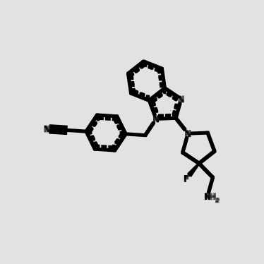 N#Cc1ccc(Cn2c(N3CC[C@](F)(CN)C3)nc3ccccc32)cc1